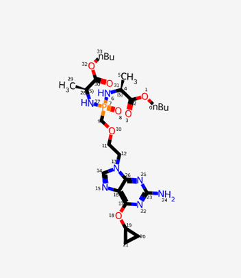 CCCCOC(=O)[C@H](C)NP(=O)(COCCn1cnc2c(OC3CC3)nc(N)nc21)N[C@@H](C)C(=O)OCCCC